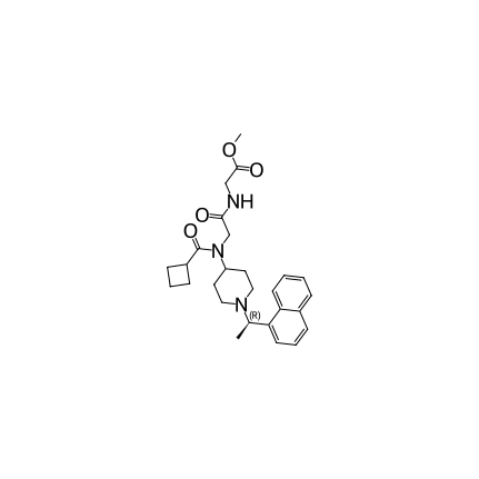 COC(=O)CNC(=O)CN(C(=O)C1CCC1)C1CCN([C@H](C)c2cccc3ccccc23)CC1